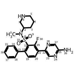 CN(C1CCCNC1)S(=O)(=O)c1c(-c2ccccc2)ccc(-c2cnc(N)cn2)c1F